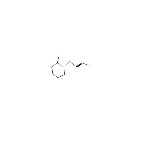 CCCCC=CCN1CCCCC1C